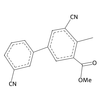 COC(=O)c1cc(-c2cccc(C#N)c2)cc(C#N)c1C